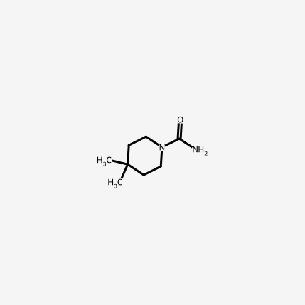 CC1(C)CCN(C(N)=O)CC1